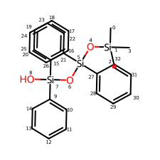 C[Si](C)(C)O[Si](O[Si](O)(c1ccccc1)c1ccccc1)(c1ccccc1)c1ccccc1